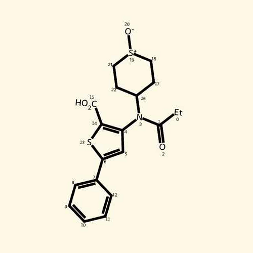 CCC(=O)N(c1cc(-c2ccccc2)sc1C(=O)O)C1CC[S+]([O-])CC1